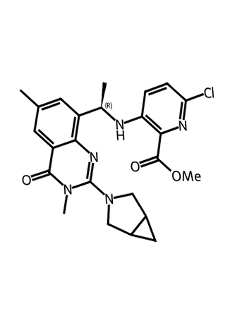 COC(=O)c1nc(Cl)ccc1N[C@H](C)c1cc(C)cc2c(=O)n(C)c(N3CC4CC4C3)nc12